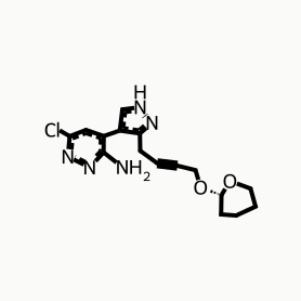 Nc1nnc(Cl)cc1-c1c[nH]nc1CC#CCO[C@H]1CCCCO1